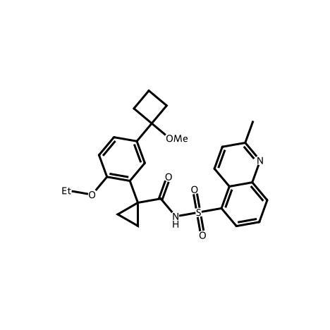 CCOc1ccc(C2(OC)CCC2)cc1C1(C(=O)NS(=O)(=O)c2cccc3nc(C)ccc23)CC1